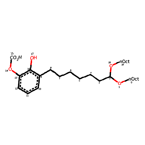 CCCCCCCCOC(CCCCCCc1cccc(OC(=O)O)c1O)OCCCCCCCC